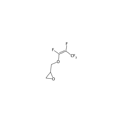 F/C(OCC1CO1)=C(\F)C(F)(F)F